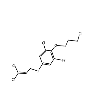 CC(C)c1cc(OCC=C(Cl)Cl)cc(Cl)c1OCCCCl